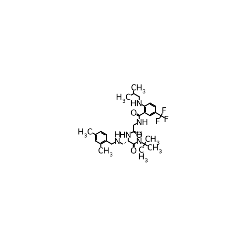 Cc1ccc(CNC[C@H](NC(=O)CNC(=O)c2cc(C(F)(F)F)ccc2NCC(C)C)C(=O)NC(C)(C)C)c(C)c1